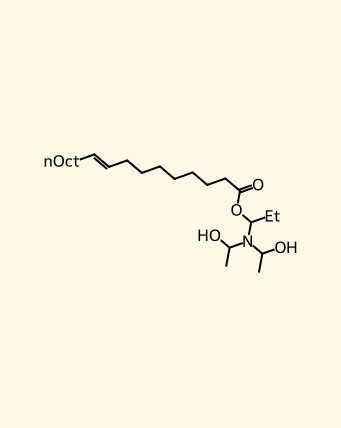 CCCCCCCCC=CCCCCCCCC(=O)OC(CC)N(C(C)O)C(C)O